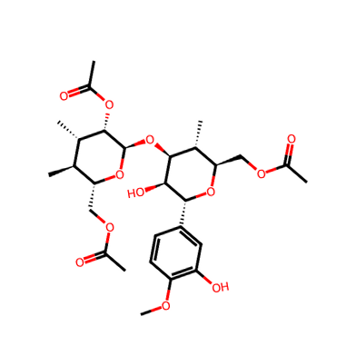 COc1ccc([C@H]2O[C@H](COC(C)=O)[C@@H](C)[C@H](O[C@H]3O[C@H](COC(C)=O)[C@@H](C)[C@H](C)[C@@H]3OC(C)=O)[C@@H]2O)cc1O